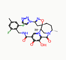 Cc1cc(F)c(CNC(=O)c2cn3c(c(O)c2=O)C(=O)N2C[C@@H]3[C@]3(CC[C@@H]2C)CC(n2ccnn2)=NO3)c(F)c1